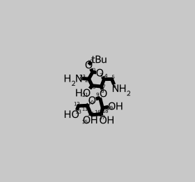 CC(C)(C)OC1OC(CN)C(OC2OC(CO)C(O)C(O)C2O)C(O)C1N